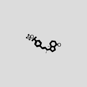 C[C@H](/C=C/c1ccc(C(C)(C)O[Si](C)(C)C)cc1)C1CCC2C(=O)CCC[C@@]21C